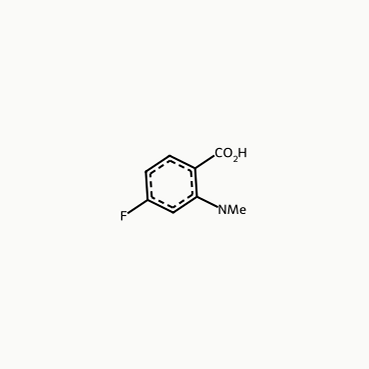 CNc1cc(F)ccc1C(=O)O